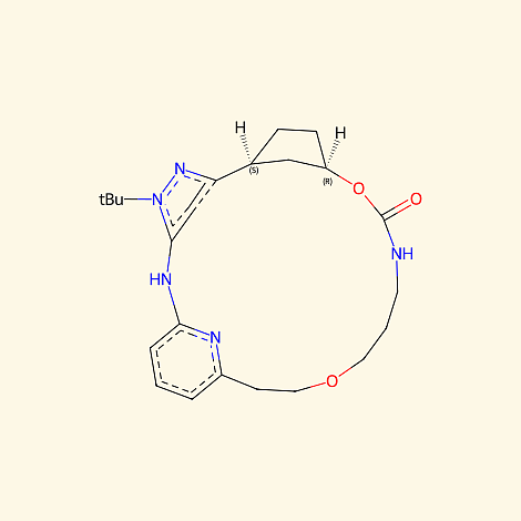 CC(C)(C)n1nc2cc1Nc1cccc(n1)CCOCCCNC(=O)O[C@@H]1CC[C@H]2C1